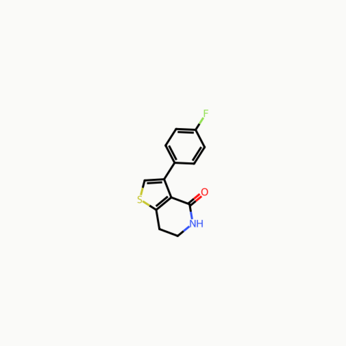 O=C1NCCc2scc(-c3ccc(F)cc3)c21